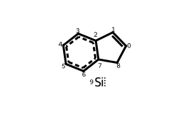 C1=Cc2ccccc2C1.[Si]